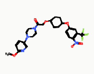 COc1ccc(N2CCN(C(=O)COC3CCC(Oc4ccc([N+](=O)[O-])c(C(F)(F)F)c4)CC3)CC2)cn1